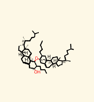 CCCCC1C(O[C@@H]2CC3=CC[C@H]4[C@@H]5CC[C@H]([C@H](C)CCCC(C)C)[C@@]5(C)CC[C@@H]4[C@@]3(C)CC2CCCC)[C@@]2(C)C(=CC[C@H]3[C@@H]4CC[C@H]([C@H](C)CCCC(C)C)[C@@]4(C)CC[C@@H]32)C[C@H]1O